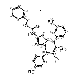 CC1=C(C#N)[C@@H](c2ccc(C#N)cc2)n2nc(NC(=O)OCc3ccccc3)nc2N1c1cccc(C(F)(F)F)c1